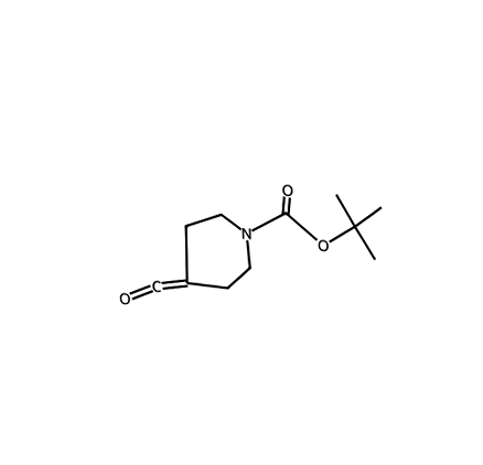 CC(C)(C)OC(=O)N1CCC(=C=O)CC1